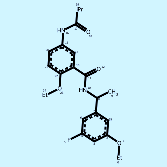 CCOc1cc(F)cc(C(C)NC(=O)c2cc(NC(=O)C(C)C)ccc2OCC)c1